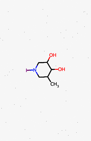 CC1CN(I)CC(O)C1O